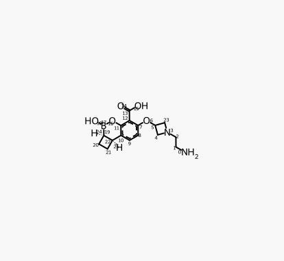 NCCN1CC(Oc2ccc3c(c2C(=O)O)OB(O)[C@@H]2CC[C@H]32)C1